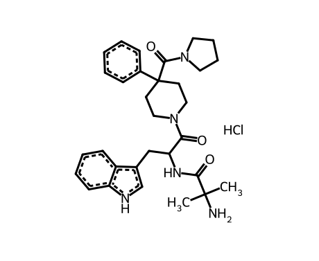 CC(C)(N)C(=O)NC(Cc1c[nH]c2ccccc12)C(=O)N1CCC(C(=O)N2CCCC2)(c2ccccc2)CC1.Cl